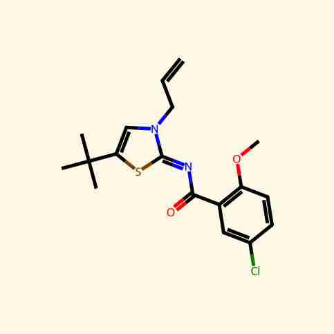 C=CCn1cc(C(C)(C)C)s/c1=N\C(=O)c1cc(Cl)ccc1OC